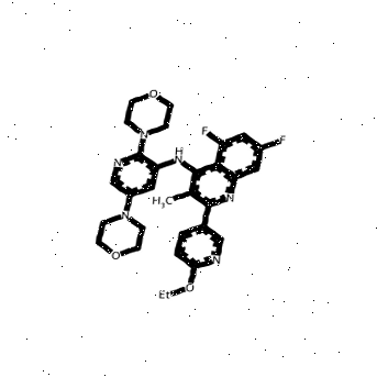 CCOc1ccc(-c2nc3cc(F)cc(F)c3c(Nc3cc(N4CCOCC4)cnc3N3CCOCC3)c2C)cn1